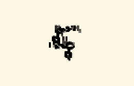 NC1CN(c2cncc(-c3ccc4[nH]nc(-c5cc6c(-c7ccncc7)cncc6[nH]5)c4c3)n2)C1